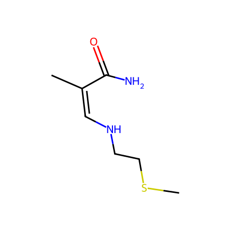 CSCCN/C=C(/C)C(N)=O